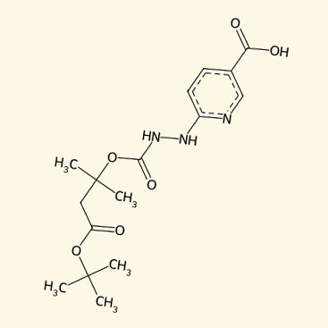 CC(C)(C)OC(=O)CC(C)(C)OC(=O)NNc1ccc(C(=O)O)cn1